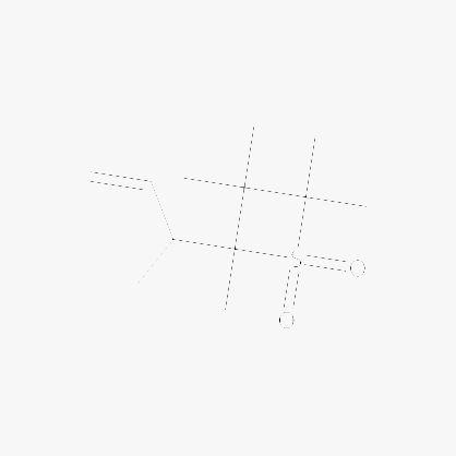 C=CC(C)C1(C)C(C)(C)C(C)(C)S1(=O)=O